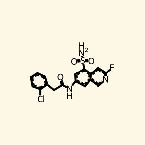 NS(=O)(=O)c1cc(NC(=O)Cc2ccccc2Cl)cc2cnc(F)cc12